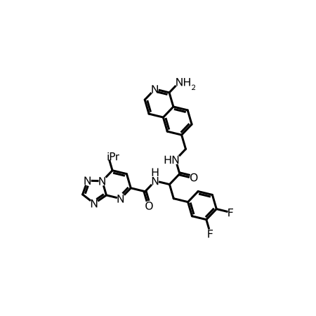 CC(C)c1cc(C(=O)NC(Cc2ccc(F)c(F)c2)C(=O)NCc2ccc3c(N)nccc3c2)nc2ncnn12